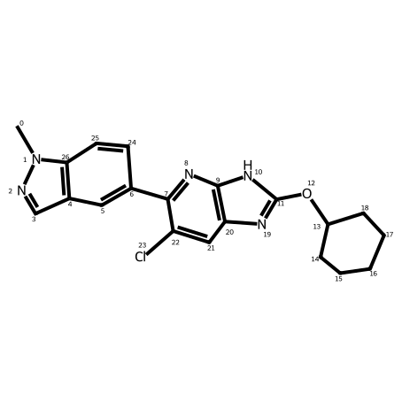 Cn1ncc2cc(-c3nc4[nH]c(OC5CCCCC5)nc4cc3Cl)ccc21